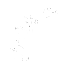 CN(C(=O)NC1CCCNC1)[C@H]1CC[C@@]2(C)[C@H](CC[C@@H]3[C@@H]2CC[C@]2(C)[C@@H](c4ccc(=O)oc4)CC[C@]32O)C1